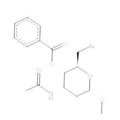 CO[C@@H]1C[C@H](NC(C)=O)[C@H](OC(=O)c2ccccc2)[C@@H](CBr)O1